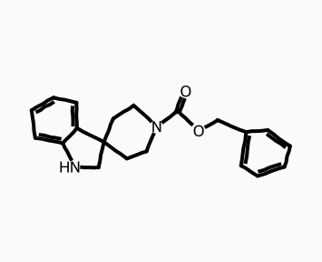 O=C(OCc1ccccc1)N1CCC2(CC1)CNc1ccccc12